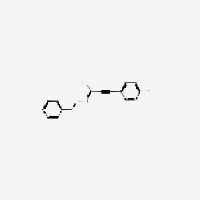 CC(C#Cc1ccc(C)cc1)=NOCc1ccccc1